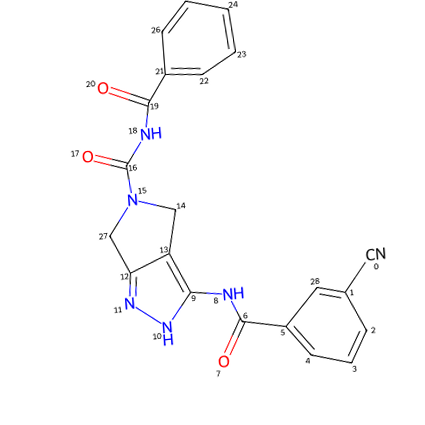 N#Cc1cccc(C(=O)Nc2[nH]nc3c2CN(C(=O)NC(=O)c2ccccc2)C3)c1